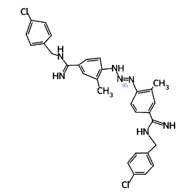 Cc1cc(C(=N)NCc2ccc(Cl)cc2)ccc1/N=N/Nc1ccc(C(=N)NCc2ccc(Cl)cc2)cc1C